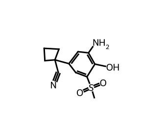 CS(=O)(=O)c1cc(C2(C#N)CCC2)cc(N)c1O